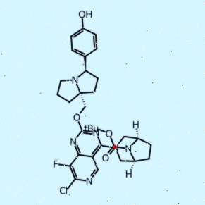 CC(C)(C)OC(=O)N1[C@@H]2CC[C@H]1CN(c1nc(OC[C@]34CCCN3[C@@H](c3ccc(O)cc3)CC4)nc3c(F)c(Cl)ncc13)C2